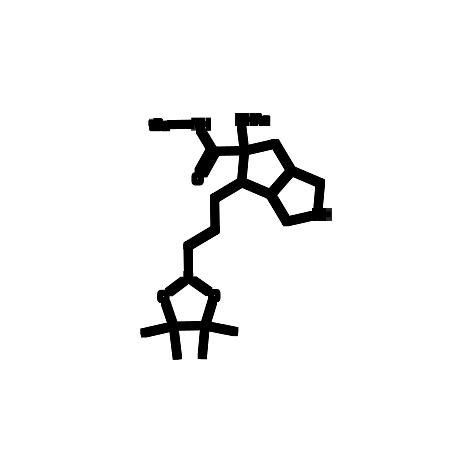 CC(=O)NC1(C(=O)NC(C)(C)C)CC2CNCC2C1CCCB1OC(C)(C)C(C)(C)O1